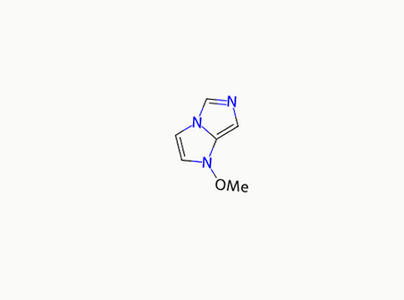 COn1ccn2cncc12